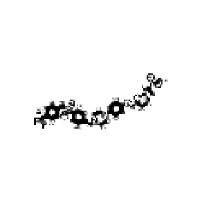 O=[N+]([O-])c1cn2c(n1)O[C@@H](COc1ccc(N3CCN(Cc4ccc(S(=O)(=O)Cc5ccc(C(F)(F)F)cc5)cc4)CC3)cc1)CC2